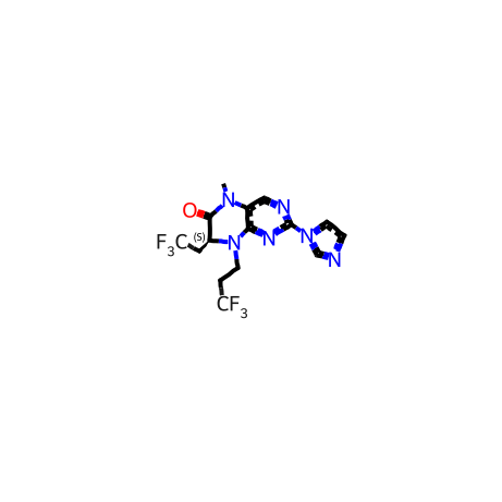 CN1C(=O)[C@H](CC(F)(F)F)N(CCC(F)(F)F)c2nc(-n3ccnc3)ncc21